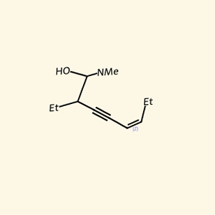 CC/C=C\C#CC(CC)C(O)NC